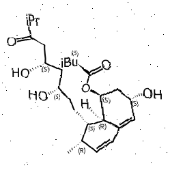 CC[C@H](C)C(=O)O[C@H]1C[C@H](O)C=C2C=C[C@H](C)[C@H](CC[C@H](O)C[C@H](O)CC(=O)C(C)C)[C@H]21